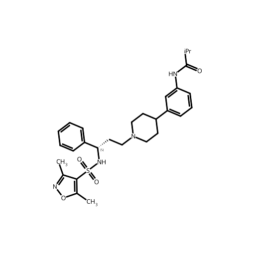 Cc1noc(C)c1S(=O)(=O)N[C@@H](CCN1CCC(c2cccc(NC(=O)C(C)C)c2)CC1)c1ccccc1